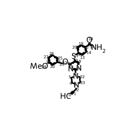 C#CCN1CCN(c2ncc(Sc3ccc(C(N)=O)cc3)c(OCc3cccc(OC)c3)n2)CC1